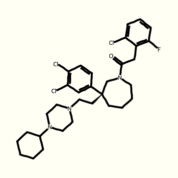 O=C(Cc1c(F)cccc1Cl)N1CCCC[C@](CCN2CCN(C3CCCCC3)CC2)(c2ccc(Cl)c(Cl)c2)C1